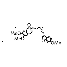 COc1ccc2c(CCN(C)CCCN3CCc4cc(OC)c(OC)cc4CC3=O)coc2c1